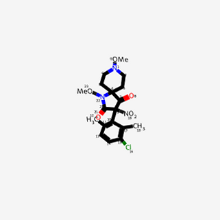 CON1CCC2(CC1)C(=O)C(c1c(C)ccc(Cl)c1C)([N+](=O)[O-])C(=O)N2OC